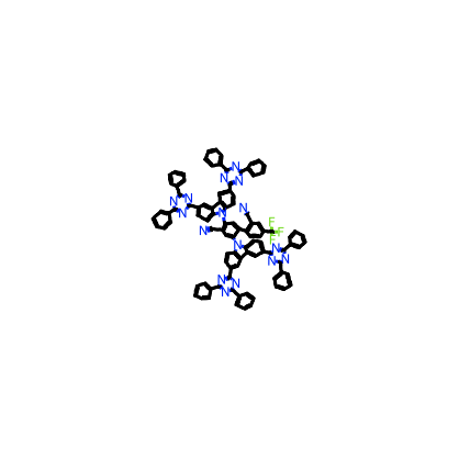 N#Cc1cc(C(F)(F)F)ccc1-c1cc(-n2c3ccc(-c4nc(-c5ccccc5)nc(-c5ccccc5)n4)cc3c3cc(-c4nc(-c5ccccc5)nc(-c5ccccc5)n4)ccc32)c(C#N)cc1-n1c2ccc(-c3nc(-c4ccccc4)nc(-c4ccccc4)n3)cc2c2cc(-c3nc(-c4ccccc4)nc(-c4ccccc4)n3)ccc21